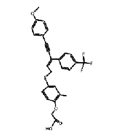 COc1ccc(C#CC(=CCSc2ccc(OCC(=O)O)c(C)c2)c2ccc(C(F)(F)F)cc2)cc1